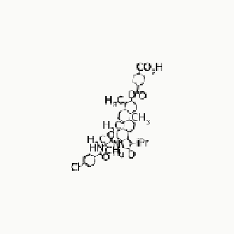 CC(C)C1=C2C3CCC4C(C)(CCC5C(C)C(OC(=O)C6CCC(C(=O)O)CC6)CCC54C)C3CCC2(NC(=O)C(C)(C)NC(=O)c2ccc(Cl)cc2)CC1=O